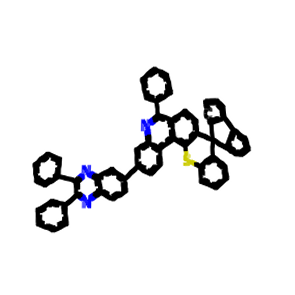 c1ccc(-c2nc3ccc(-c4ccc5c(c4)nc(-c4ccccc4)c4ccc6c(c45)Sc4ccccc4C64c5ccccc5-c5ccccc54)cc3nc2-c2ccccc2)cc1